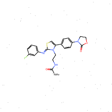 CNC(=O)NCCn1c(-c2ccc(N3CCOC3=O)cc2)csc1=Nc1cccc(F)c1